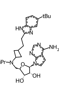 CC(C)N(C[C@H]1O[C@@H](n2ccc3c(N)ncnc32)[C@H](O)[C@@H]1O)C1CC(CCc2nc3cc(C(C)(C)C)ccc3[nH]2)C1